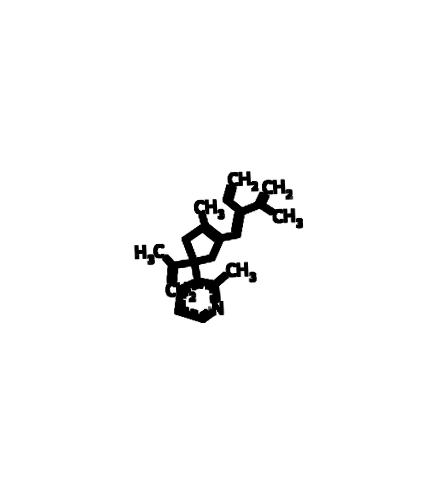 C=C/C(=C\C1=C(C)CC(C(=C)C)(c2cccnc2C)C1)C(=C)C